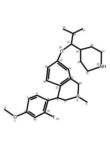 COc1ccc(C2CN(C)Cc3cc(OC(C(C)C)C4CCNCC4)ccc32)c(F)c1